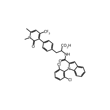 Cc1cc(C(F)(F)F)c(-c2ccc(CC(NC(=O)c3cc4ccccc4n3-c3c(Cl)cccc3Cl)C(=O)O)cc2)c(=O)n1C